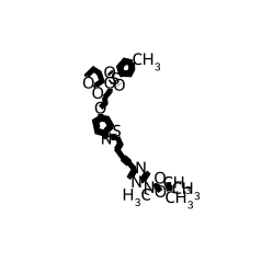 Cc1ccc(S(=O)(=O)OCC(COc2ccc3nc(/C=C/C#Cc4cnc(N(C)C(=O)OC(C)(C)C)cn4)sc3c2)OC2CCCCO2)cc1